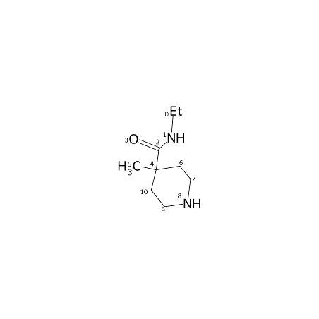 CCNC(=O)C1(C)CCNCC1